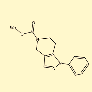 CC(C)(C)OC(=O)N1CCc2c(cnn2-c2ccccc2)C1